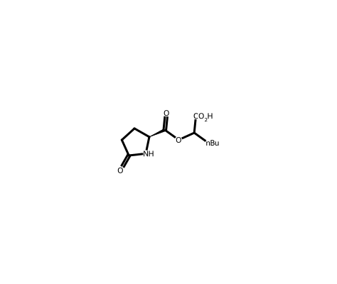 CCCCC(OC(=O)[C@@H]1CCC(=O)N1)C(=O)O